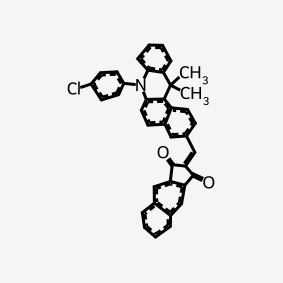 CC1(C)c2ccccc2N(c2ccc(Cl)cc2)c2ccc3cc(C=C4C(=O)c5cc6ccccc6cc5C4=O)ccc3c21